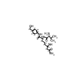 CC(C)[C@H](N)C(=O)N[C@@H](CCCC(=N)CC(N)=O)C(=S)Nc1ccc(CO)cc1